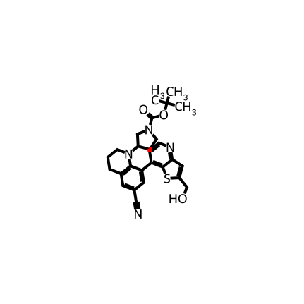 CC(C)(C)OC(=O)N1CCC(N2CCCc3cc(C#N)cc(-c4ccnc5cc(CO)sc45)c32)C1